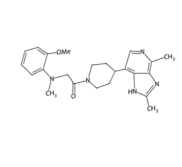 COc1ccccc1N(C)CC(=O)N1CCC(c2cnc(C)c3nc(C)[nH]c23)CC1